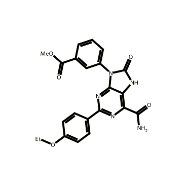 CCOc1ccc(-c2nc(C(N)=O)c3[nH]c(=O)n(-c4cccc(C(=O)OC)c4)c3n2)cc1